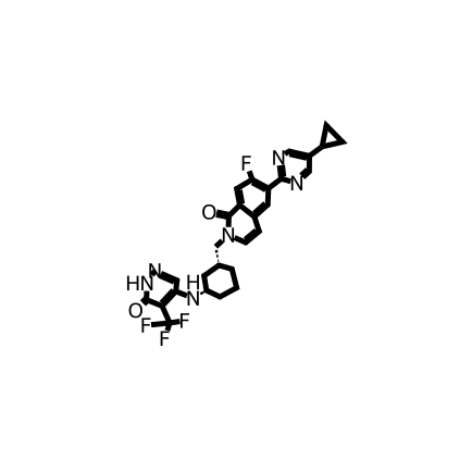 O=c1[nH]ncc(N[C@H]2CCC[C@@H](Cn3ccc4cc(-c5ncc(C6CC6)cn5)c(F)cc4c3=O)C2)c1C(F)(F)F